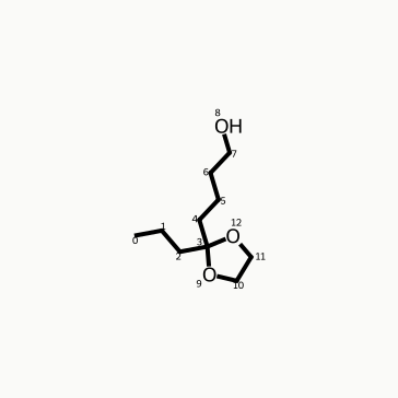 CCCC1(CCCCO)OCCO1